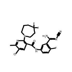 Cc1nc(N2CCCC(F)(F)CC2)c(C(=O)Nc2ccc(F)c(C(N)=NC#N)c2)cc1Cl